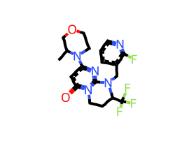 CC1COCCN1c1cc(=O)n2c(n1)N(Cc1cccnc1F)C(C(F)(F)F)CC2